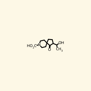 CC(O)C1CCC2(CCN(C(=O)O)CC2)C1=O